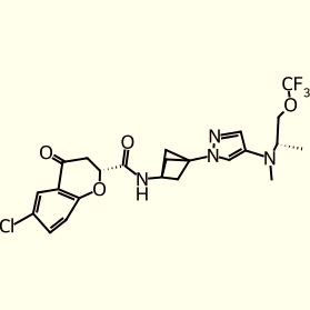 C[C@@H](COC(F)(F)F)N(C)c1cnn(C23CC(NC(=O)[C@H]4CC(=O)c5cc(Cl)ccc5O4)(C2)C3)c1